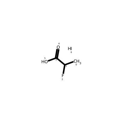 CC(F)C(=O)O.I